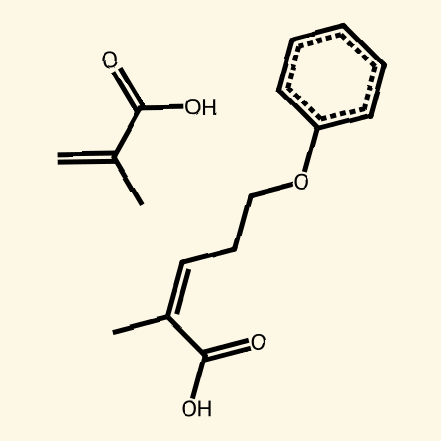 C=C(C)C(=O)O.CC(=CCCOc1ccccc1)C(=O)O